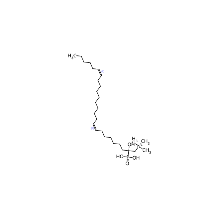 CCCCC/C=C\CCCCCCCC/C=C\CCCCCCC(O)(C[N+](C)(C)C)P(=O)(O)O